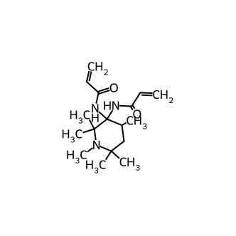 C=CC(=O)NC1(NC(=O)C=C)C(C)CC(C)(C)N(C)C1(C)C